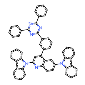 c1ccc(-c2nc(-c3ccccc3)nc(-c3cccc(-c4cc(-n5c6ccccc6c6ccccc65)nc5ccc(-n6c7ccccc7c7ccccc76)cc45)c3)n2)cc1